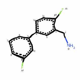 NCc1cc(-c2cccc(F)c2)ccc1F